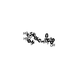 CCc1cccc2cc(O)cc(-c3ncc4c(N5CC6CCC(C5)N6)nc(OCCN5CCC(F)(CN6CCN(c7cc([C@@H](C(=O)N8C[C@H](O)C[C@H]8C(=O)N[C@@H](C)c8ccc(-c9scnc9C)cc8)C(C)C)on7)[C@@H](C)C6)CC5)nc4c3F)c12